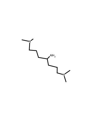 CN(C)CCC[CH]([AlH2])CCCN(C)C